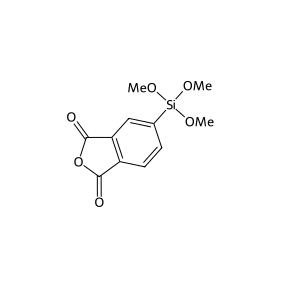 CO[Si](OC)(OC)c1ccc2c(c1)C(=O)OC2=O